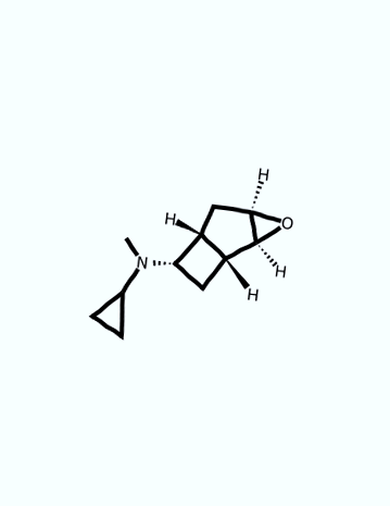 CN(C1CC1)[C@H]1C[C@@H]2[C@H]1C[C@H]1O[C@@H]21